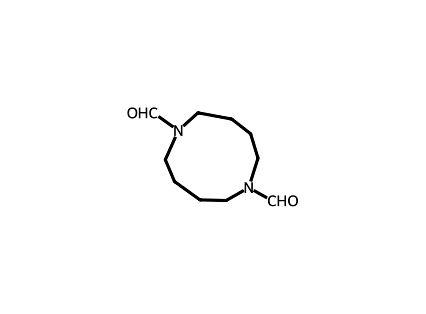 O=CN1CCCCN(C=O)CCCC1